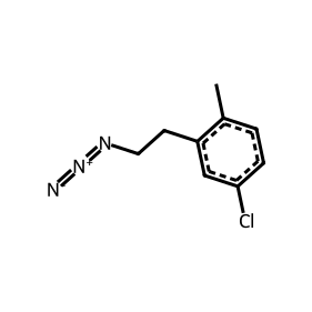 Cc1ccc(Cl)cc1CCN=[N+]=[N-]